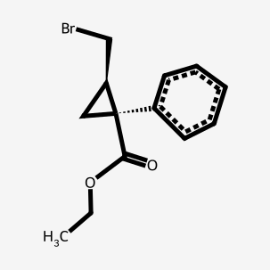 CCOC(=O)[C@@]1(c2ccccc2)C[C@H]1CBr